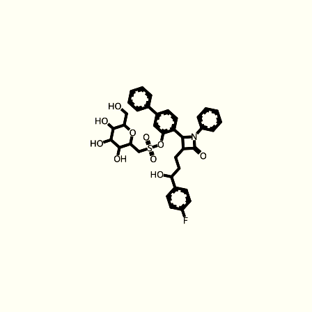 O=C1C(CCC(O)c2ccc(F)cc2)C(c2ccc(-c3ccccc3)cc2OS(=O)(=O)CC2OC(CO)C(O)C(O)C2O)N1c1ccccc1